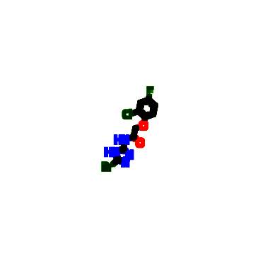 O=C(COc1ccc(F)cc1Cl)Nc1nnc(Br)[nH]1